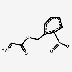 C=CC(=O)OCc1ccccc1[N+](=O)[O-]